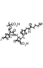 CC(C)(O/N=C(\C(=O)NC[C@@H]1C(=O)N(S(=O)(=O)O)[C@@H]1Cn1ncc(CNC(=O)CCCN)n1)c1csc(N)n1)C(=O)O